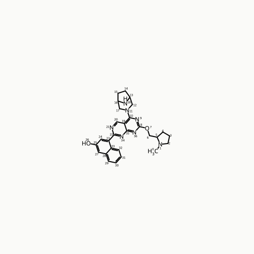 CN1CCCC1COc1nc(N2CC3CCC(C2)N3)c2cnc(-c3cc(O)cc4ccccc34)nc2n1